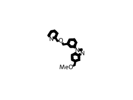 COCc1ccc2c(c1)ncn2-c1cccc(COCc2ccccn2)c1